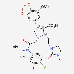 CCCC(CCC)N(C(=O)CN1C[C@H](c2cc(OC)c3c(c2)OCO3)[C@@H](C(=O)O)[C@@H]1CCN1CCN(C)C1=O)c1ccc(F)c(C)c1